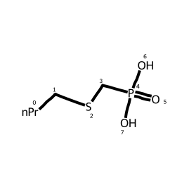 CCCCSCP(=O)(O)O